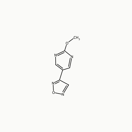 COc1ncc(-c2cnon2)cn1